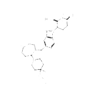 C=C1CCC(N2Cc3cc(CC4CCCCCC4N4CCC(C)(OC)CC4)ccc32)C(=C)N1